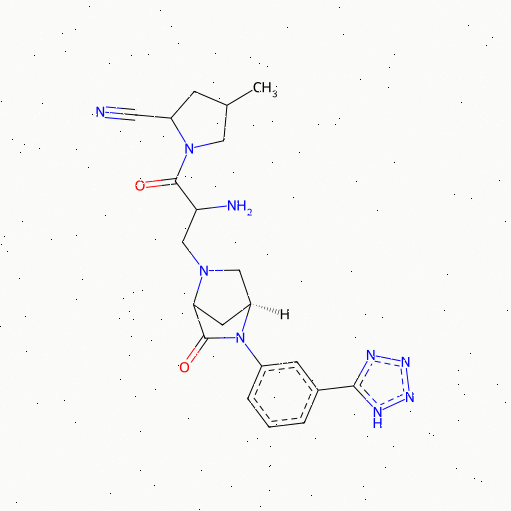 CC1CC(C#N)N(C(=O)C(N)CN2C[C@@H]3CC2C(=O)N3c2cccc(-c3nnn[nH]3)c2)C1